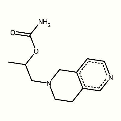 CC(CN1CCc2cnccc2C1)OC(N)=O